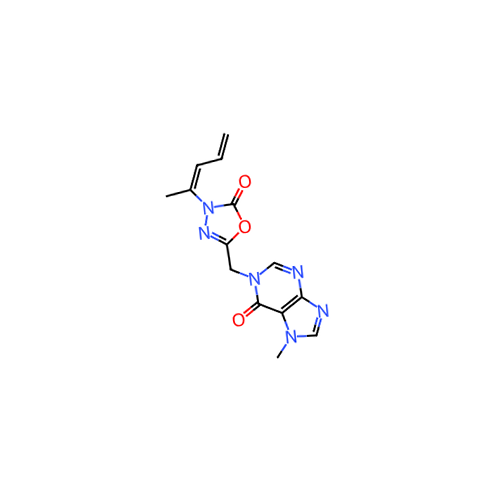 C=C/C=C(/C)n1nc(Cn2cnc3ncn(C)c3c2=O)oc1=O